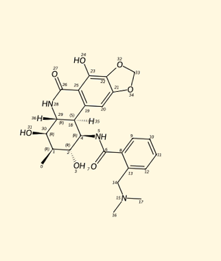 C[C@@H]1[C@@H](O)[C@H](NC(=O)c2ccccc2CN(C)C)[C@@H]2c3cc4c(c(O)c3C(=O)N[C@H]2[C@@H]1O)OCO4